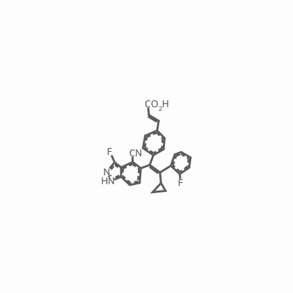 N#Cc1c(C(=C(c2ccccc2F)C2CC2)c2ccc(C=CC(=O)O)cc2)ccc2[nH]nc(F)c12